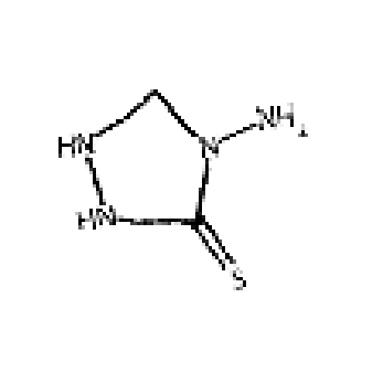 NN1CNNC1=S